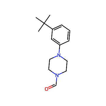 CC(C)(C)c1cccc(N2CCN(C=O)CC2)c1